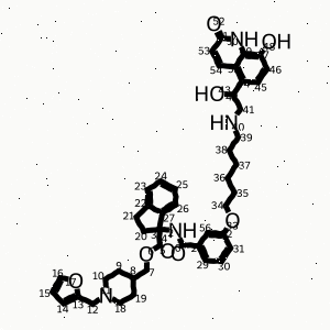 O=C(NC1(C(=O)OCC2CCN(Cc3ccco3)CC2)CCc2ccccc21)c1cccc(OCCCCCCNCC(O)c2ccc(O)c3[nH]c(=O)ccc23)c1